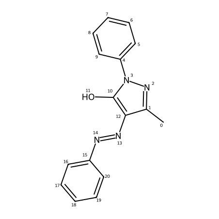 Cc1nn(-c2ccccc2)c(O)c1N=Nc1ccccc1